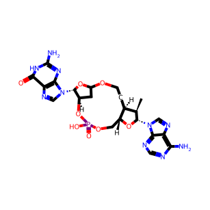 C[C@@H]1[C@@H]2CCOC3C[C@@H](OP(=O)(O)OC[C@H]2O[C@H]1n1cnc2c(N)ncnc21)[C@H](n1cnc2c(=O)[nH]c(N)nc21)O3